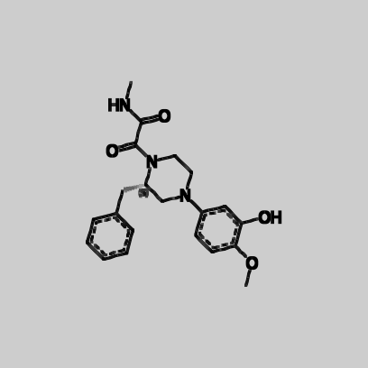 CNC(=O)C(=O)N1CCN(c2ccc(OC)c(O)c2)C[C@@H]1Cc1ccccc1